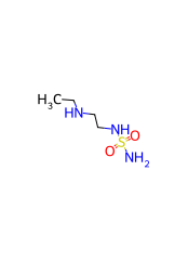 CCNCCNS(N)(=O)=O